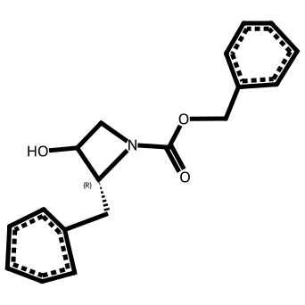 O=C(OCc1ccccc1)N1CC(O)[C@H]1Cc1ccccc1